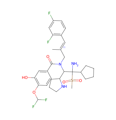 C/C(=C\c1ccc(F)cc1F)CN(C(=O)c1ccc(OC(F)F)c(O)c1)C(C1CCCN1)C(N)(C1CCCC1)S(C)(=O)=O